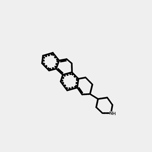 C1=c2ccc3c(c2CCC1C1CCNCC1)CC=c1ccccc1=3